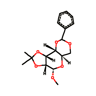 CO[C@H]1O[C@@H]2COC(c3ccccc3)O[C@H]2[C@H]2OC(C)(C)O[C@@H]12